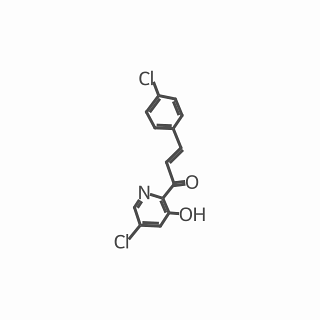 O=C(C=Cc1ccc(Cl)cc1)c1ncc(Cl)cc1O